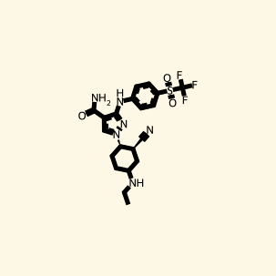 CCNC1CC[C@H](n2cc(C(N)=O)c(Nc3ccc(S(=O)(=O)C(F)(F)F)cc3)n2)[C@@H](C#N)C1